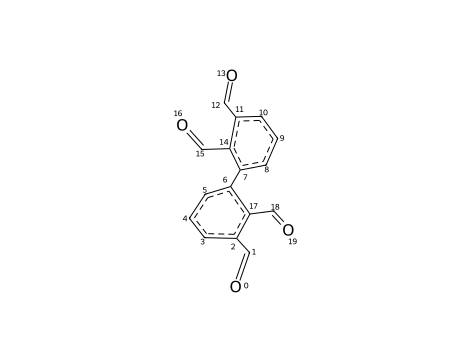 O=Cc1cccc(-c2cccc(C=O)c2C=O)c1C=O